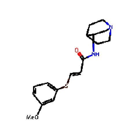 COc1cccc(SC=CC(=O)NC2CN3CCC2CC3)c1